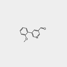 COc1ccccc1-c1cncc(C=O)c1